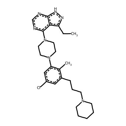 CCc1n[nH]c2ncnc(N3CCN(c4cc(Cl)cc(CCCN5CCCCC5)c4C)CC3)c12